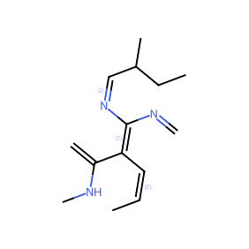 C=NC(/N=C\C(C)CC)=C(\C=C/C)C(=C)NC